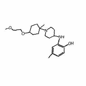 COCCOC1CCC(C)(N2CCC(Nc3cc(C)ccc3O)CC2)CC1